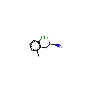 Cc1cccc(Cl)c1CC(Cl)C#N